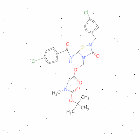 CN(CC(=O)OCN1C(=O)N(Cc2ccc(Cl)cc2)SC1NC(=O)c1ccc(Cl)cc1)C(=O)OC(C)(C)C